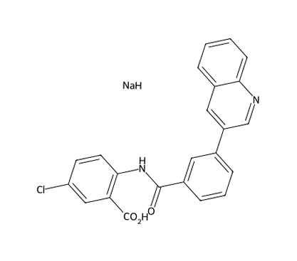 O=C(Nc1ccc(Cl)cc1C(=O)O)c1cccc(-c2cnc3ccccc3c2)c1.[NaH]